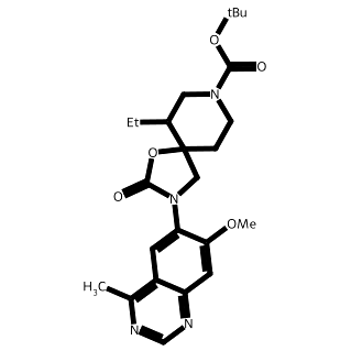 CCC1CN(C(=O)OC(C)(C)C)CCC12CN(c1cc3c(C)ncnc3cc1OC)C(=O)O2